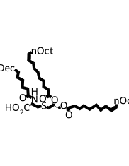 CCCCCCCC/C=C\CCCCCCCC(=O)OC[C@H](CSC[C@@H](NC(=O)CCCCCCCCCCCCCCC)C(=O)O)OC(=O)CCCCCCC/C=C\CCCCCCCC